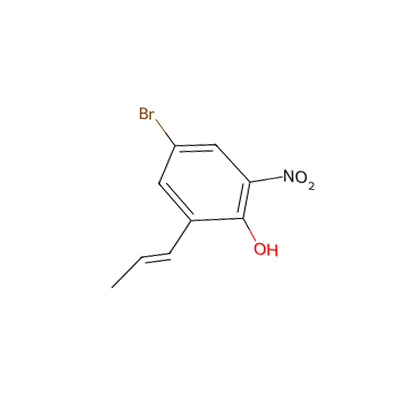 CC=Cc1cc(Br)cc([N+](=O)[O-])c1O